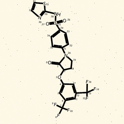 O=C1C(Oc2cc(C(F)(F)F)cc(C(F)(F)F)c2)CCN1c1ccc(S(=O)(=O)Nc2nccs2)cc1